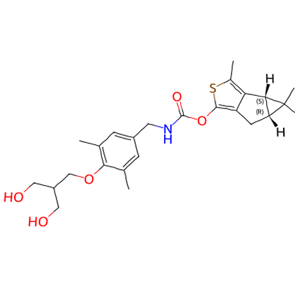 Cc1cc(CNC(=O)Oc2sc(C)c3c2C[C@@H]2[C@H]3C2(C)C)cc(C)c1OCC(CO)CO